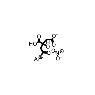 O=C([O-])CC(O)(CC(=O)[O-])C(=O)O.O=[N+]([O-])[O-].[Al+3]